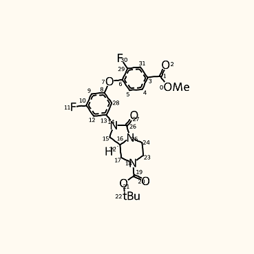 COC(=O)c1ccc(Oc2cc(F)cc(N3C[C@@H]4CN(C(=O)OC(C)(C)C)CCN4C3=O)c2)c(F)c1